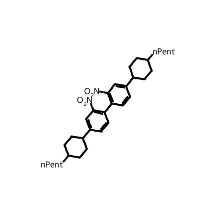 CCCCCC1CCC(c2ccc(-c3ccc(C4CCC(CCCCC)CC4)cc3[N+](=O)[O-])c([N+](=O)[O-])c2)CC1